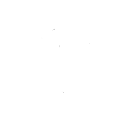 Clc1ccc(CN2CCN(I)CC2)c(N2CCN3CCC[C@@H]3C2)c1